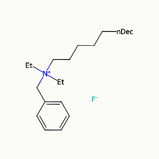 CCCCCCCCCCCCCCC[N+](CC)(CC)Cc1ccccc1.[F-]